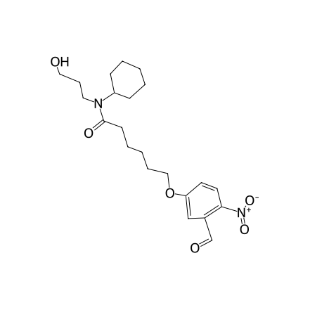 O=Cc1cc(OCCCCCC(=O)N(CCCO)C2CCCCC2)ccc1[N+](=O)[O-]